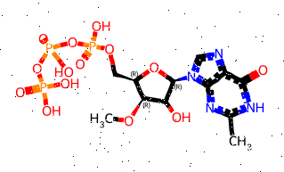 CO[C@@H]1C(O)[C@H](n2cnc3c(=O)[nH]c(C)nc32)O[C@@H]1COP(=O)(O)OP(=O)(O)OP(=O)(O)O